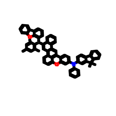 Cc1cc(C)c(B(c2cc3c4cccc5c4c(cc3c3ccccc23)-c2ccc(N(c3ccccc3)c3ccc4c(c3)C(C)(C)c3ccccc3-4)cc2O5)c2cccc3c2oc2ccccc23)c(C)c1